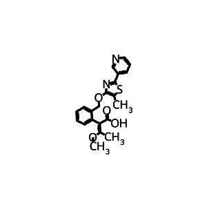 COC(C)=C(C(=O)O)c1ccccc1COc1nc(-c2cccnc2)sc1C